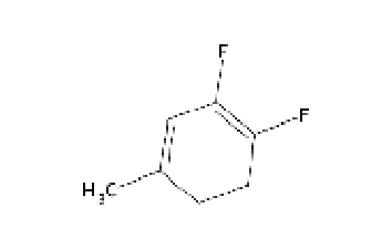 CC1=CC(F)=C(F)CC1